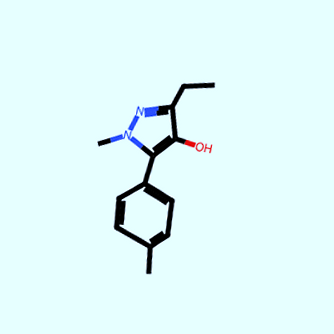 CCc1nn(C)c(-c2ccc(C)cc2)c1O